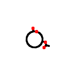 CC(=O)OC1CCCCCCCCCCC(=O)OCCC1